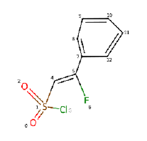 O=S(=O)(Cl)C=C(F)c1ccccc1